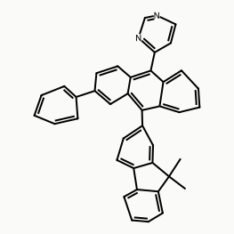 CC1(C)c2ccccc2-c2ccc(-c3c4ccccc4c(-c4ccncn4)c4ccc(-c5ccccc5)cc34)cc21